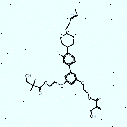 C=C(CO)C(=O)OCCOc1cc(OCCOC(=O)C(C)(C)CO)cc(-c2ccc(C3CCC(CC/C=C/C)CC3)c(F)c2)c1